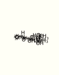 CC(OC(OCC[C@H](O)[C@H](O)CCCC(=O)NCCc1ccccc1)C(O)O)[C@@H](C)O